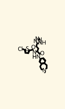 CN1CCc2ccc(NC(=O)C(CCc3nnn[nH]3)NC(=O)c3ccc(Cl)s3)cc2CC1